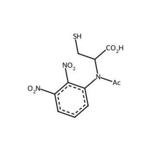 CC(=O)N(c1cccc([N+](=O)[O-])c1[N+](=O)[O-])C(CS)C(=O)O